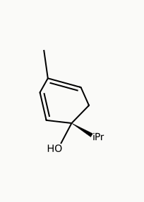 CC1=CC[C@@](O)(C(C)C)C=C1